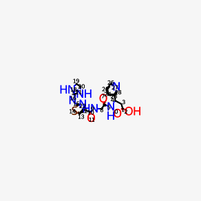 O=C(O)CC(NC(=O)CNC(=O)c1csc(N=C2NCCN2)n1)c1cccnc1